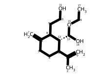 C=C(C)C1CCC(=C)C(CCO)[C@@H]1C(O)OCC